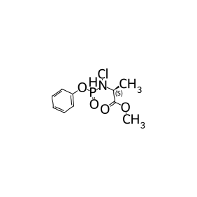 COC(=O)[C@H](C)N(Cl)[PH](=O)Oc1ccccc1